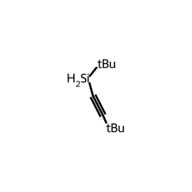 CC(C)(C)C#C[SiH2]C(C)(C)C